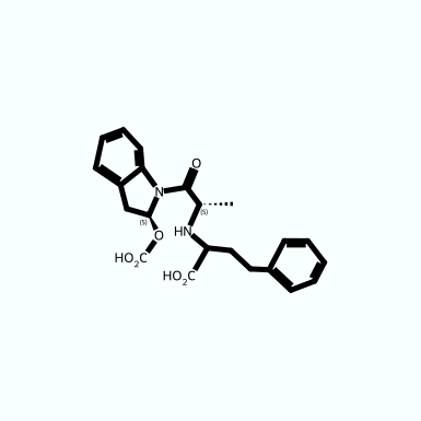 C[C@H](NC(CCc1ccccc1)C(=O)O)C(=O)N1c2ccccc2C[C@@H]1OC(=O)O